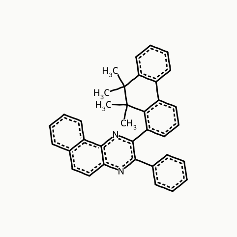 CC1(C)c2ccccc2-c2cccc(-c3nc4c(ccc5ccccc54)nc3-c3ccccc3)c2C1(C)C